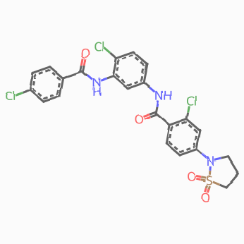 O=C(Nc1cc(NC(=O)c2ccc(N3CCCS3(=O)=O)cc2Cl)ccc1Cl)c1ccc(Cl)cc1